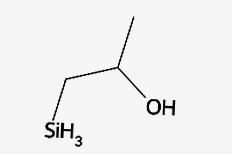 CC(O)C[SiH3]